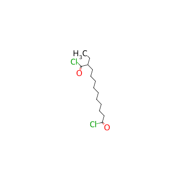 CCC(CCCCCCCCCC(=O)Cl)C(=O)Cl